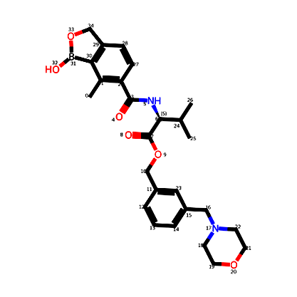 Cc1c(C(=O)N[C@H](C(=O)OCc2cccc(CN3CCOCC3)c2)C(C)C)ccc2c1B(O)OC2